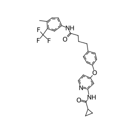 Cc1ccc(NC(=O)CCCc2ccc(Oc3ccnc(NC(=O)C4CC4)c3)cc2)cc1C(F)(F)F